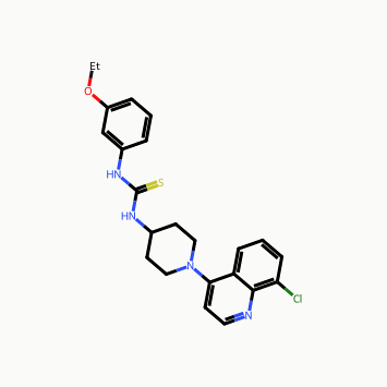 CCOc1cccc(NC(=S)NC2CCN(c3ccnc4c(Cl)cccc34)CC2)c1